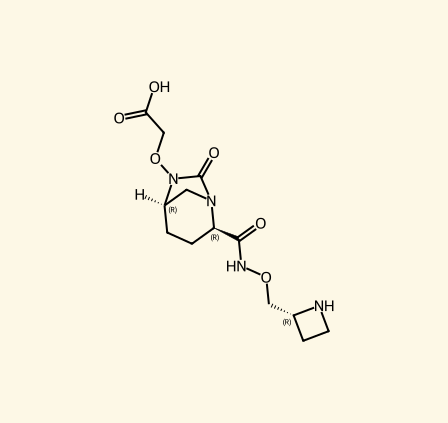 O=C(O)CON1C(=O)N2C[C@H]1CC[C@@H]2C(=O)NOC[C@H]1CCN1